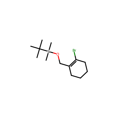 CC(C)(C)[Si](C)(C)OCC1=C(Br)CCCC1